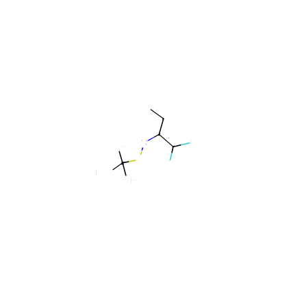 CCC(NSC(C)(C)C)C(F)F